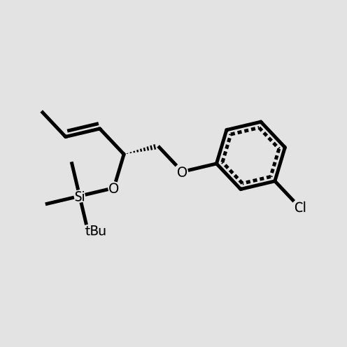 C/C=C/[C@H](COc1cccc(Cl)c1)O[Si](C)(C)C(C)(C)C